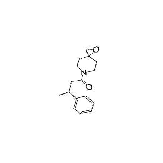 CC(CC(=O)N1CCC2(CC1)CO2)c1ccccc1